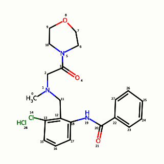 CN(CC(=O)N1CCOCC1)Cc1c(Cl)cccc1NC(=O)c1ccccc1.Cl